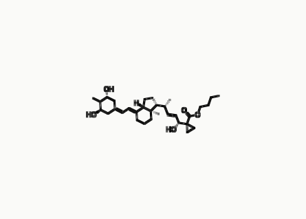 CCCCOC(=O)C1([C@H](O)/C=C/[C@@H](C)[C@H]2CC[C@H]3/C(=C/C=C4C[C@@H](O)C(C)[C@H](O)C4)CCC[C@]23C)CC1